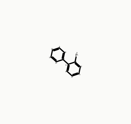 [P]c1ccccc1-c1ccccc1